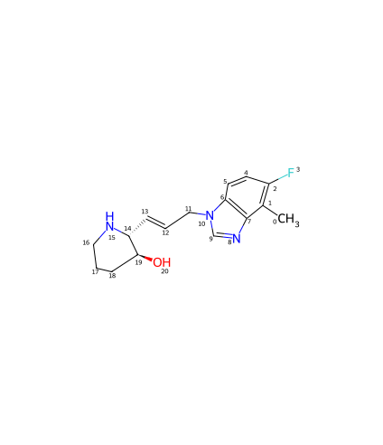 Cc1c(F)ccc2c1ncn2C/C=C/[C@H]1NCCC[C@@H]1O